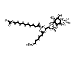 CCCCCCCCCCCCCCCC(=O)O[C@H](COC(=O)CCCCCCCCCSC(=O)CCC)COP(=O)(O)OC1C(O)[C@@H](O)C(O)[C@@H](OP(=O)(O)O)[C@H]1O